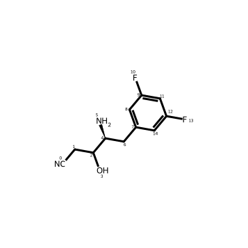 N#CCC(O)[C@@H](N)Cc1cc(F)cc(F)c1